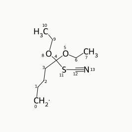 [CH2]CCCC(OCC)(OCC)SC#N